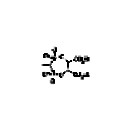 CCOC(=O)C1OS(=O)(=O)C(C)S(=O)(=O)OC1C(=O)OCC